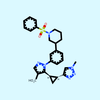 Cn1cc([C@@H]2C[C@H]2c2c(C(=O)O)cnn2-c2cccc(C3CCCN(S(=O)(=O)c4ccccc4)C3)c2)nn1